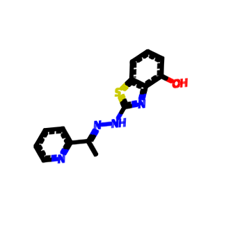 C/C(=N\Nc1nc2c(O)cccc2s1)c1ccccn1